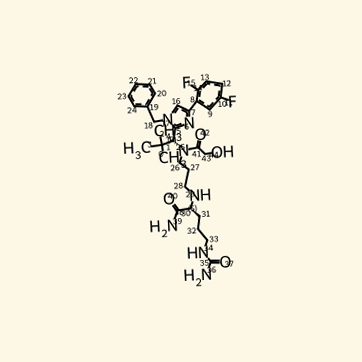 CC(C)(C)[C@H](c1nc(-c2cc(F)ccc2F)cn1Cc1ccccc1)N(CCCN[C@@H](CCCNC(N)=O)C(N)=O)C(=O)CO